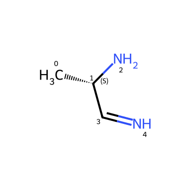 C[C@H](N)C=N